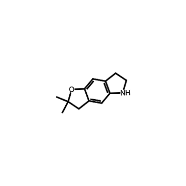 CC1(C)Cc2cc3c(cc2O1)CCN3